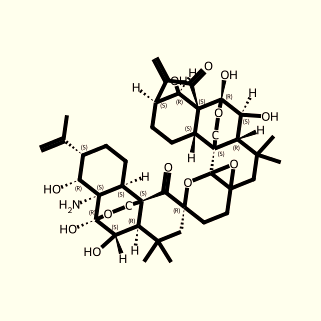 C=C(C)[C@@H]1CC[C@H]2[C@@]34CO[C@@](O)([C@@H](O)[C@@H]3C(C)(C)C[C@]3(CCC56CC(C)(C)[C@H]7[C@H](O)[C@]8(O)OC[C@@]7([C@@H]7CC[C@H]9C(=C)C(=O)[C@]78[C@@H]9O)C5(O6)O3)C4=O)[C@@]2(N)[C@@H]1O